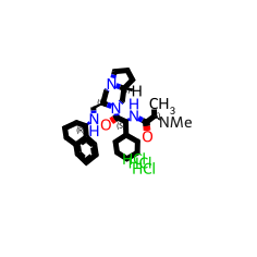 CN[C@@H](C)C(=O)N[C@H](C(=O)N1C[C@H]2CCCN2C[C@@H]1CN[C@@H]1CCCc2ccccc21)C1CCCCC1.Cl.Cl.Cl